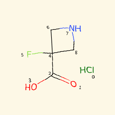 Cl.O=C(O)C1(F)CNC1